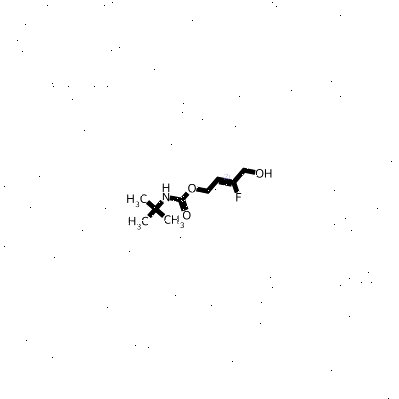 CC(C)(C)NC(=O)OC/C=C(\F)CO